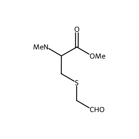 CNC(CSCC=O)C(=O)OC